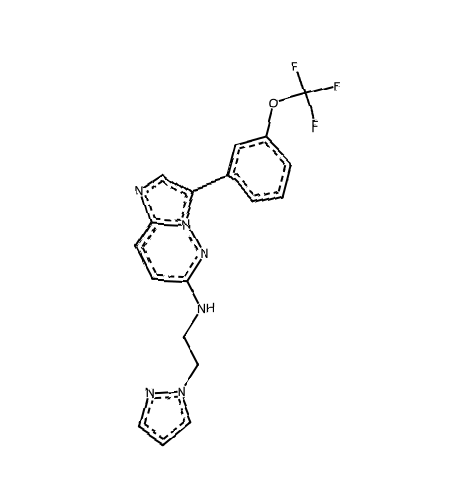 FC(F)(F)Oc1cccc(-c2cnc3ccc(NCCn4cccn4)nn23)c1